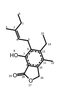 CCC(C)=CCc1c(O)c2c(c(C)c1CC)COC2=O